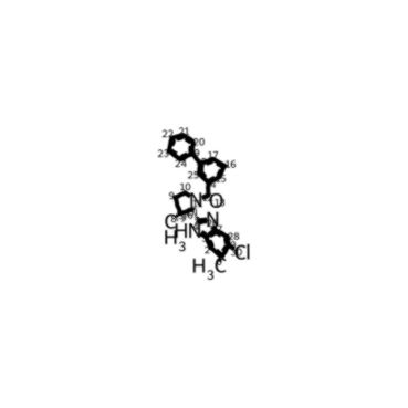 Cc1cc2[nH]c([C@@H]3[C@@H](C)CCN3C(=O)c3cccc(-c4ccccc4)c3)nc2cc1Cl